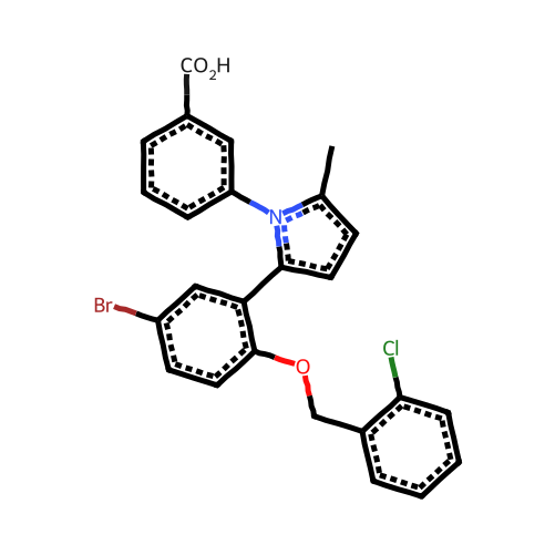 Cc1ccc(-c2cc(Br)ccc2OCc2ccccc2Cl)n1-c1cccc(C(=O)O)c1